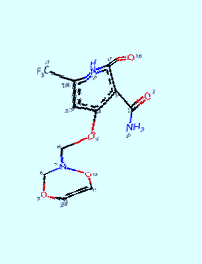 NC(=O)c1c(OCN2COC=CO2)cc(C(F)(F)F)[nH]c1=O